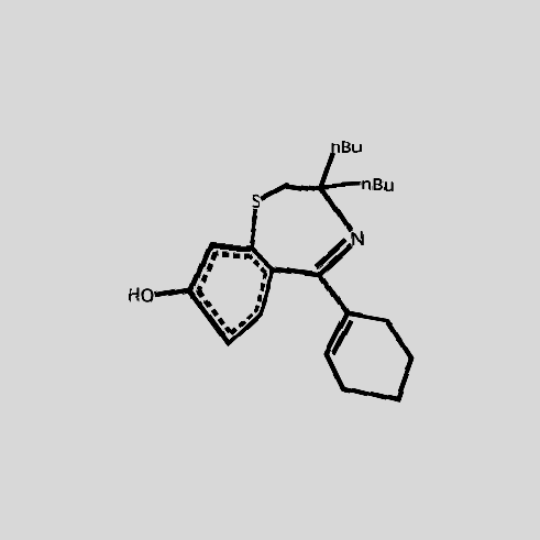 CCCCC1(CCCC)CSc2cc(O)ccc2C(C2=CCCCC2)=N1